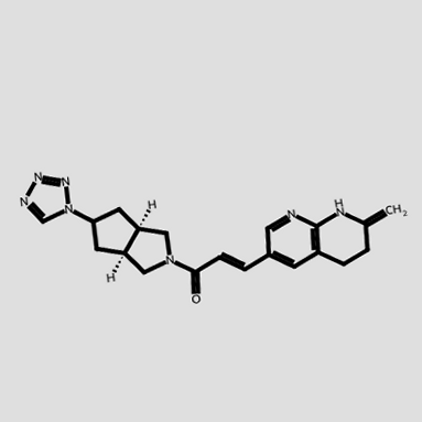 C=C1CCc2cc(/C=C/C(=O)N3C[C@H]4CC(n5cnnn5)C[C@H]4C3)cnc2N1